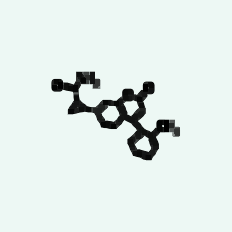 Cc1ccccc1-c1cc(=O)oc2cc(C3CC3C(N)=O)ccc12